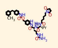 Cc1cccc(Cc2ccc(NC(=O)OCc3ccc(NC(=O)[C@H](CCCNC(N)=O)NC(=O)[C@@H](NC(=O)CCCCCN4C(=O)C=CC4=O)C(C)C)cc3)cc2)c1